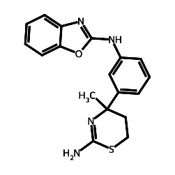 CC1(c2cccc(Nc3nc4ccccc4o3)c2)CCSC(N)=N1